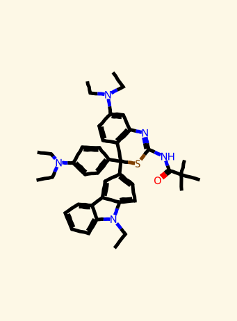 CCN(CC)c1ccc(C2(c3ccc4c(c3)c3ccccc3n4CC)SC(NC(=O)C(C)(C)C)=Nc3cc(N(CC)CC)ccc32)cc1